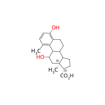 Cc1ccc(O)c2c1C1C(O)C[C@@]3(C)C(CC[C@@H]3C(=O)O)C1CC2